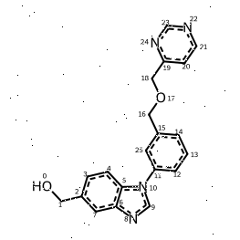 OCc1ccc2c(c1)ncn2-c1cccc(COCc2ccncn2)c1